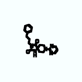 O=C1NC2(CCN(c3ncccn3)CC2)C(=O)N1CCCc1ccccc1